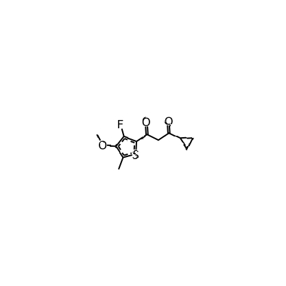 COc1c(C)sc(C(=O)CC(=O)C2CC2)c1F